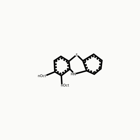 CCCCCCCCc1ccc2c(c1CCCCCCCC)Nc1ccccc1S2